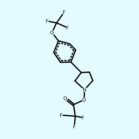 O=C(ON1CCC(c2ccc(OC(F)(F)F)cc2)C1)C(F)(F)F